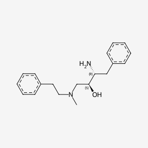 CN(CCc1ccccc1)C[C@H](O)[C@H](N)Cc1ccccc1